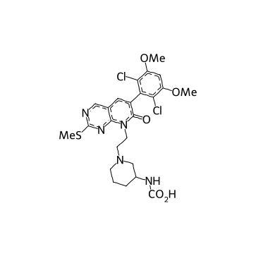 COc1cc(OC)c(Cl)c(-c2cc3cnc(SC)nc3n(CCN3CCCC(NC(=O)O)C3)c2=O)c1Cl